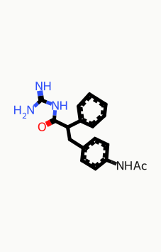 CC(=O)Nc1ccc(CC(C(=O)NC(=N)N)c2ccccc2)cc1